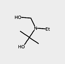 CCN(CO)C(C)(C)O